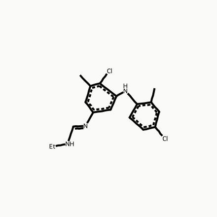 CCNC=Nc1cc(C)c(Cl)c(Nc2ccc(Cl)cc2C)c1